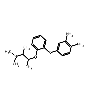 CC(Oc1ccccc1Sc1ccc(N)c(N)c1)C(C)N(C)C